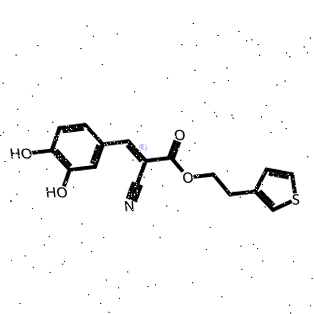 N#C/C(=C\c1ccc(O)c(O)c1)C(=O)OCCc1ccsc1